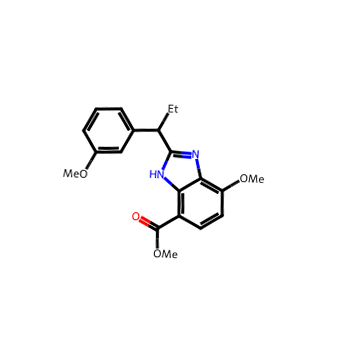 CCC(c1cccc(OC)c1)c1nc2c(OC)ccc(C(=O)OC)c2[nH]1